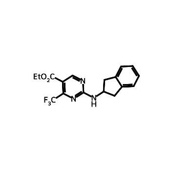 CCOC(=O)c1cnc(NC2Cc3ccccc3C2)nc1C(F)(F)F